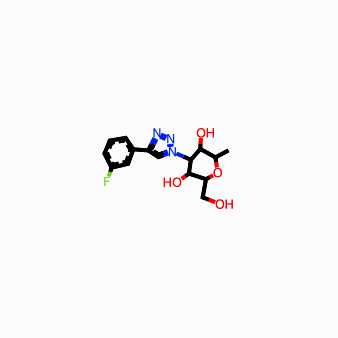 CC1OC(CO)C(O)C(n2cc(-c3cccc(F)c3)nn2)C1O